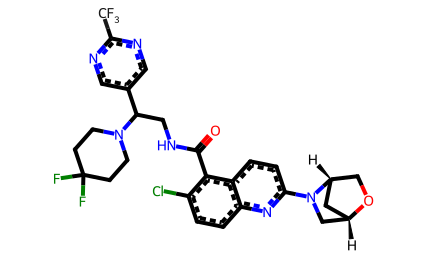 O=C(NCC(c1cnc(C(F)(F)F)nc1)N1CCC(F)(F)CC1)c1c(Cl)ccc2nc(N3C[C@@H]4C[C@H]3CO4)ccc12